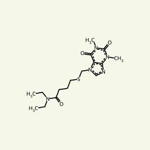 CCN(CC)C(=O)CCCSCn1cnc2c1c(=O)n(C)c(=O)n2C